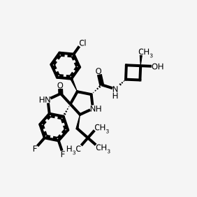 CC(C)(C)C[C@@H]1N[C@@H](C(=O)N[C@H]2C[C@@](C)(O)C2)[C@H](c2cccc(Cl)c2)[C@]12C(=O)Nc1cc(F)c(F)cc12